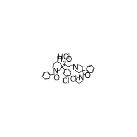 Cl.O.O=C(c1ccccc1)N1CCCCC(CCCN2CCC(C(=O)N3CCCC3)(c3ccccc3)CC2)(c2ccc(Cl)c(Cl)c2)C1